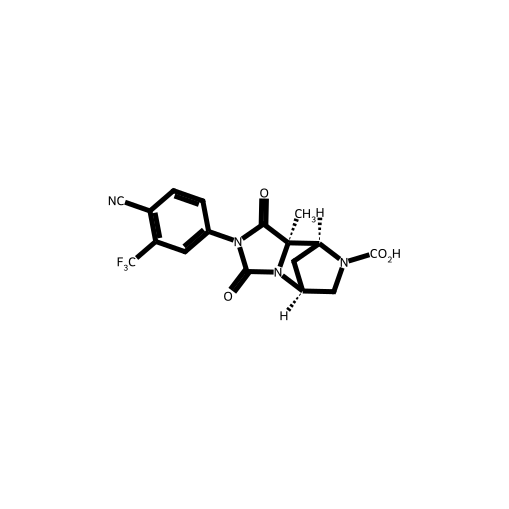 C[C@@]12C(=O)N(c3ccc(C#N)c(C(F)(F)F)c3)C(=O)N1[C@H]1C[C@@H]2N(C(=O)O)C1